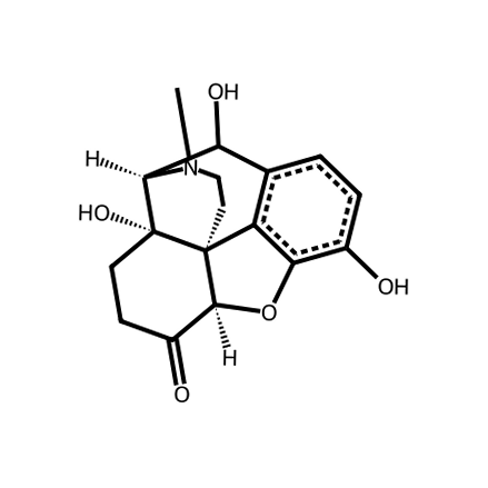 CN1CC[C@]23c4c5ccc(O)c4O[C@H]2C(=O)CC[C@@]3(O)[C@H]1C5O